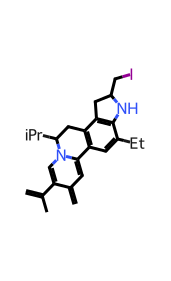 C=C(C)C1=CN2C(=CC1=C)c1cc(CC)c3c(c1CC2C(C)C)CC(CI)N3